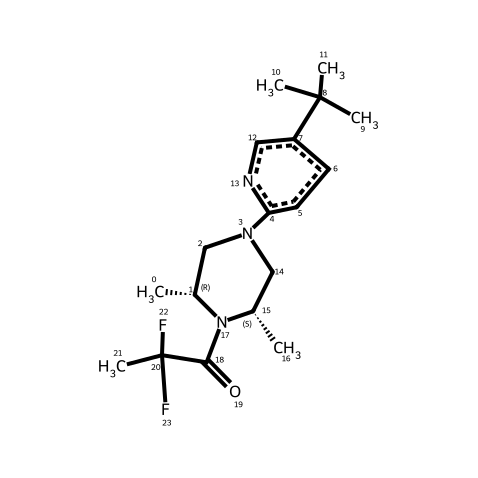 C[C@@H]1CN(c2ccc(C(C)(C)C)cn2)C[C@H](C)N1C(=O)C(C)(F)F